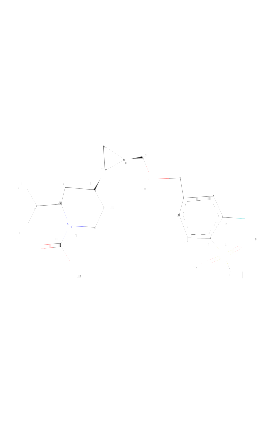 CC(C)C1CC([C@H]2C[C@H]2COCc2ccc(S(C)(=O)=O)c(F)c2)CCN1C(=O)O